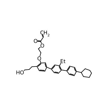 C=CC(=O)OCCOc1cc(-c2ccc(-c3ccc(C4CCCCC4)cc3)c(CC)c2)ccc1CCCO